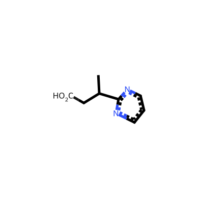 CC(CC(=O)O)c1ncccn1